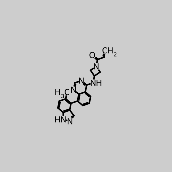 C=CC(=O)N1CC(Nc2ncnc3c(-c4c(C)ccc5[nH]ncc45)cccc23)C1